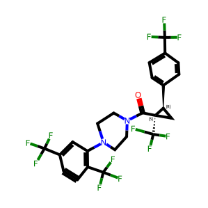 O=C(N1CCN(c2cc(C(F)(F)F)c#cc2C(F)(F)F)CC1)[C@]1(C(F)(F)F)C[C@@H]1c1ccc(C(F)(F)F)cc1